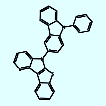 c1ccc(-n2c3ccccc3c3cc(-n4c5cccnc5c5c6ccccc6sc54)ccc32)cc1